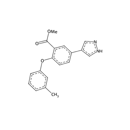 COC(=O)c1cc(-c2cn[nH]c2)ccc1Oc1cccc(C)c1